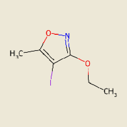 CCOc1noc(C)c1I